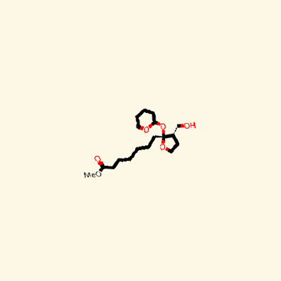 COC(=O)CCCCCC[C@]1(OC2CCCCO2)OCC[C@H]1CO